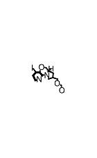 COCOCC1C[C@H]2COc3c(I)ccnc3N2C1